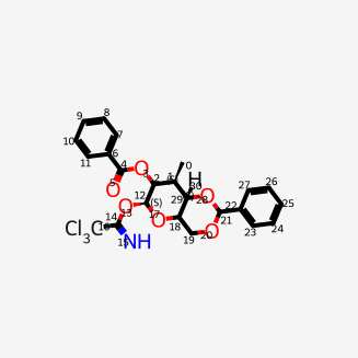 C[C@@H]1C(OC(=O)c2ccccc2)[C@H](OC(=N)C(Cl)(Cl)Cl)OC2COC(c3ccccc3)O[C@H]21